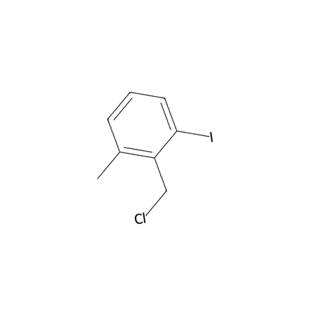 Cc1cccc(I)c1CCl